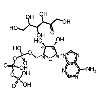 Nc1ncnc2c1ncn2[C@@H]1O[C@H](COP(=O)(O)OP(=O)(O)OP(=O)(O)O)[C@@H](O)[C@H]1O.O=C(CO)C(O)C(O)C(O)CO